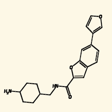 NC1CCC(CNC(=O)c2cc3ccc(-c4ccoc4)cc3o2)CC1